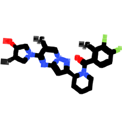 Cc1cn2nc([C@@H]3CCCCN3C(=O)c3ccc(F)c(F)c3C)cc2nc1N1C[C@@H](C#N)[C@@H](O)C1